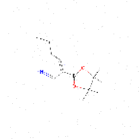 CCC/C=C(\C=N)B1OC(C)(C)C(C)(C)O1